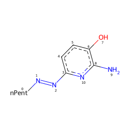 CCCCCN=Nc1ccc(O)c(N)n1